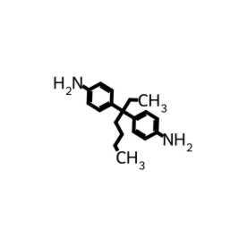 CCCCC(CC)(c1ccc(N)cc1)c1ccc(N)cc1